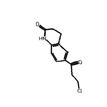 O=C1CCc2cc(C(=O)CCCl)ccc2N1